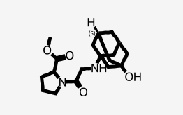 COC(=O)C1CCCN1C(=O)CNC12CC3C[C@H](CC(O)(C3)C1)C2